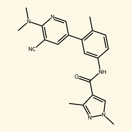 Cc1ccc(NC(=O)c2cn(C)nc2C)cc1-c1cnc(N(C)C)c(C#N)c1